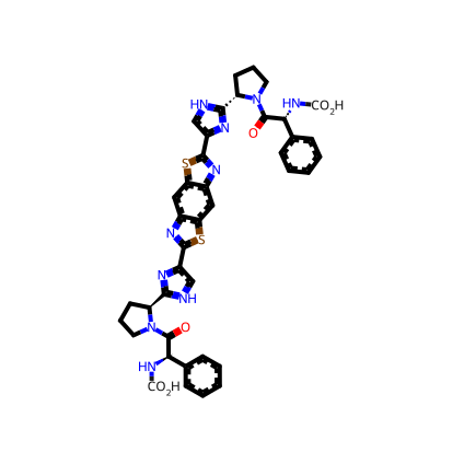 O=C(O)N[C@@H](C(=O)N1CCC[C@H]1c1nc(-c2nc3cc4sc(-c5c[nH]c([C@@H]6CCCN6C(=O)[C@H](NC(=O)O)c6ccccc6)n5)nc4cc3s2)c[nH]1)c1ccccc1